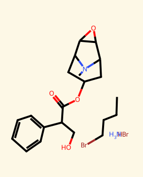 Br.CCCCBr.CN1C2CC(OC(=O)C(CO)c3ccccc3)CC1C1OC12.N